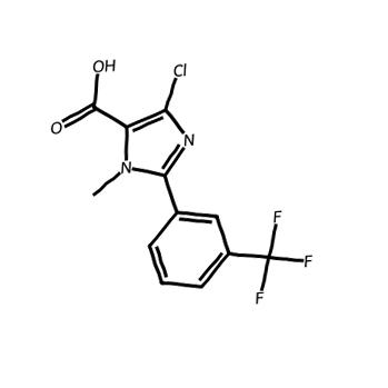 Cn1c(-c2cccc(C(F)(F)F)c2)nc(Cl)c1C(=O)O